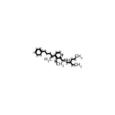 C=Nc1c(C(=C)CCCC2=CC=CCC2)ccnc1CNCC(CC)CCC